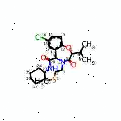 CSCCN1C(=O)C(C(C)C)Oc2ccc(Cl)cc2C1C(=O)NC1CCCCC1